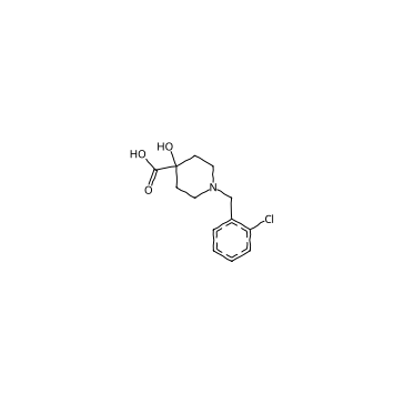 O=C(O)C1(O)CCN(Cc2ccccc2Cl)CC1